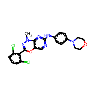 CN1N=C(c2c(Cl)cccc2Cl)Oc2cnc(Nc3ccc(N4CCOCC4)cc3)nc21